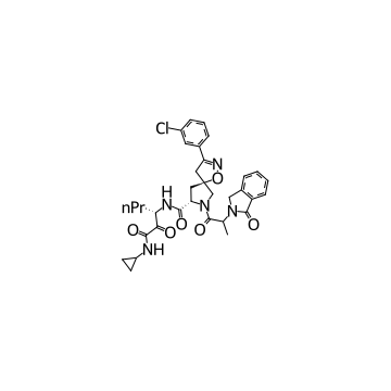 CCC[C@H](NC(=O)[C@@H]1C[C@]2(CC(c3cccc(Cl)c3)=NO2)CN1C(=O)C(C)N1Cc2ccccc2C1=O)C(=O)C(=O)NC1CC1